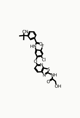 CC(C)(C#N)c1cccc(C(=O)Nc2cc(Oc3ccc4nc(NC(=O)CO)sc4n3)c(Cl)cc2F)c1